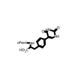 CCCCCNC(Cc1ccc(-c2c[nH]c(=O)[nH]c2=O)cc1)C(=O)O